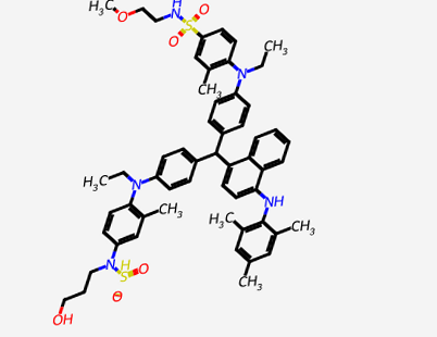 CCN(c1ccc(C(c2ccc(N(CC)c3ccc(S(=O)(=O)NCCOC)cc3C)cc2)c2ccc(Nc3c(C)cc(C)cc3C)c3ccccc23)cc1)c1ccc(N(CCCO)[SH](=O)=O)cc1C